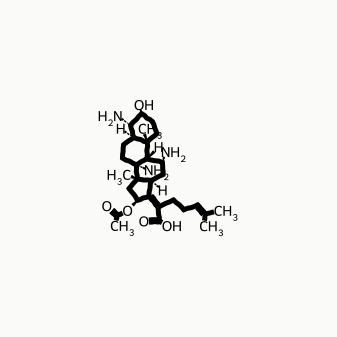 CC(=O)O[C@H]1C[C@@]2(C)[C@@H](C[C@@H](N)[C@H]3[C@@]4(C)CC[C@@H](O)[C@@H](N)[C@@H]4CC[C@@]32N)/C1=C(\CCC=C(C)C)C(=O)O